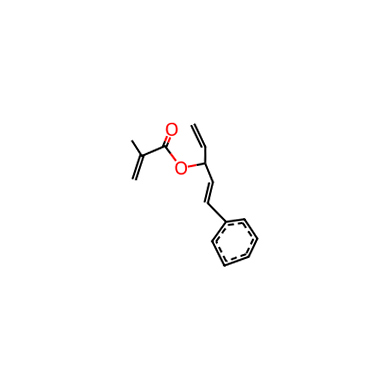 C=CC(C=Cc1ccccc1)OC(=O)C(=C)C